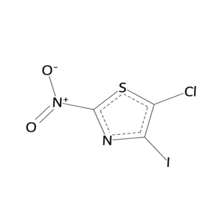 O=[N+]([O-])c1nc(I)c(Cl)s1